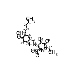 CCCCOc1cc(CNc2c([N+](=O)[O-])nn(CC)c(=O)c2Br)ccc1OC